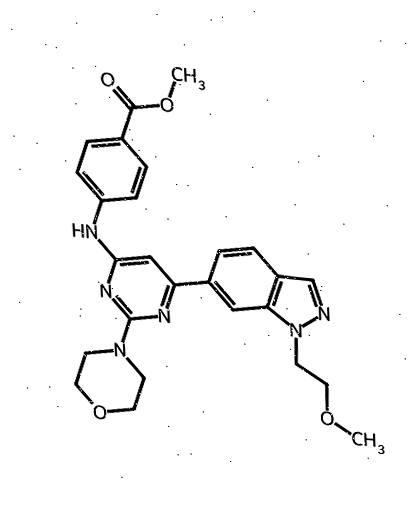 COCCn1ncc2ccc(-c3cc(Nc4ccc(C(=O)OC)cc4)nc(N4CCOCC4)n3)cc21